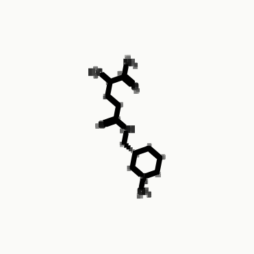 CC(C[CH]C(=O)NC[C@@H]1CCCN(C)C1)C(N)=O